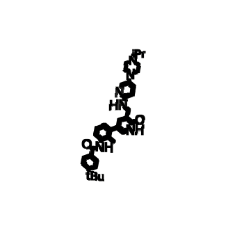 Cc1c(NC(=O)c2ccc(C(C)(C)C)cc2)cccc1-c1c[nH]c(=O)c(CNc2ccc(N3CCN(C(C)C)CC3)cn2)c1